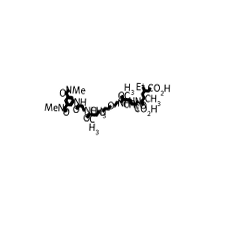 CCC(CC(=O)O)CC(C)C(=O)N[C@@H](CCC(C)(C)C(=O)NCCOCCOCCC(C)(C)C(=O)NCCC(=O)Nc1cc(C(=O)NC)cc(C(=O)NC)c1)C(=O)O